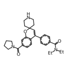 CCN(CC)C(=O)c1ccc(C2=CC3(CCNCC3)Oc3cc(C(=O)N4CCCC4)ccc32)cc1